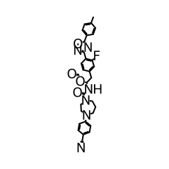 Cc1ccc(-c2nc(-c3ccc(CC(NC(=O)N4CCCN(c5ccc(C#N)cc5)CC4)OC=O)cc3F)no2)cc1